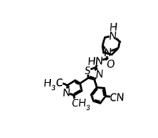 Cc1cc(-c2sc(NC(=O)N3C4CCC3CNC4)nc2-c2cccc(C#N)c2)cc(C)n1